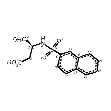 O=[C][C@H](CC(=O)O)NS(=O)(=O)c1ccc2ccccc2c1